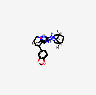 Cc1cc(N2C[C@H]3CC[C@@H](C2)[C@@H]3Nc2nc3n(n2)CCCC3c2ccc3c(c2)OCO3)sn1